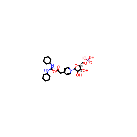 O=C(Cc1cc[n+]([C@@H]2O[C@H](COP(=O)(O)O)[C@@H](O)[C@H]2O)cc1)O/C(=N/C1CCCCC1)NC1CCCCC1